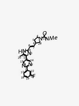 CNC(=O)N1CCC(C=Cc2nc(-c3cnc(-c4cccc(F)c4)nc3)c(C)[nH]2)C1